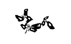 c1ccc(-n2c3ccccc3c3cc(-c4ccc5c(c4)c4ccccc4n5C4N=C(c5ccc6c7ccccc7n(-c7ccccc7)c6c5)c5ccccc5N4)ccc32)cc1